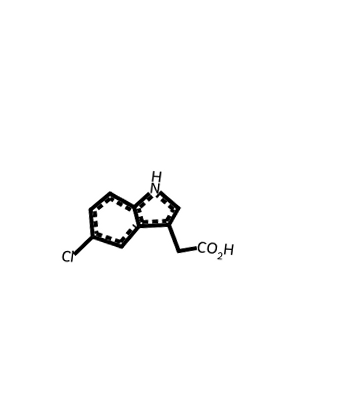 O=C(O)Cc1c[nH]c2ccc(Cl)cc12